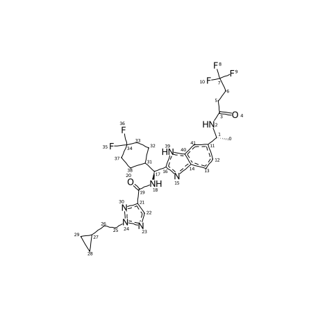 C[C@@H](NC(=O)CCC(F)(F)F)c1ccc2nc([C@@H](NC(=O)c3cnn(CCC4CC4)n3)C3CCC(F)(F)CC3)[nH]c2c1